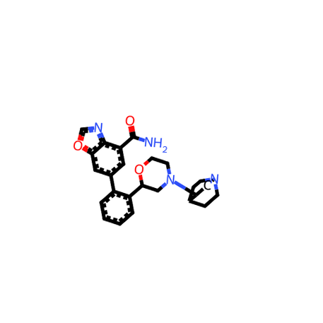 NC(=O)c1cc(-c2ccccc2C2CN(C3CN4CCC3CC4)CCO2)cc2ocnc12